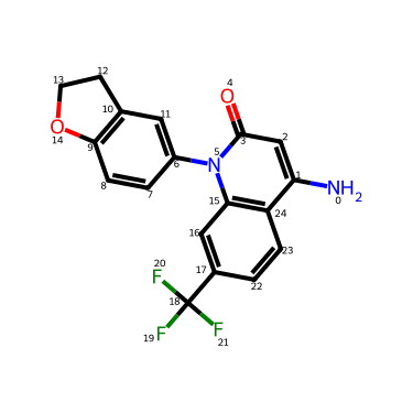 Nc1cc(=O)n(-c2ccc3c(c2)CCO3)c2cc(C(F)(F)F)ccc12